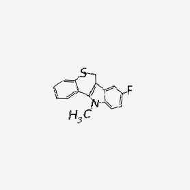 Cn1c2c(c3cc(F)ccc31)CSc1ccccc1-2